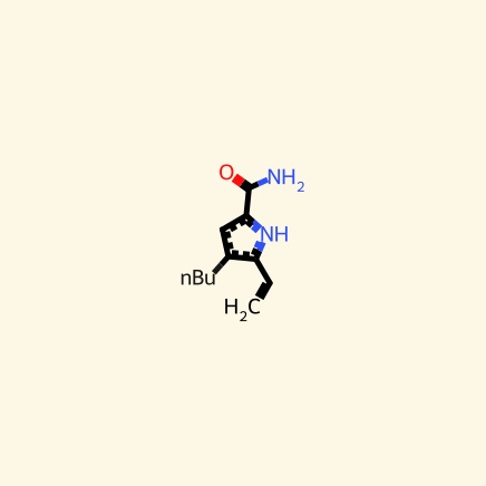 C=Cc1[nH]c(C(N)=O)cc1CCCC